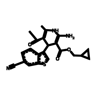 CC(=O)C1=C(C)NC(N)=C(C(=O)OCC2CC2)C1c1csc2cc(C#N)ccc12